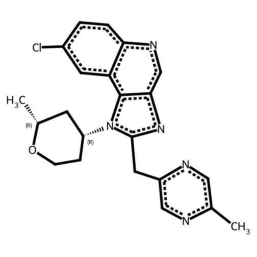 Cc1cnc(Cc2nc3cnc4ccc(Cl)cc4c3n2[C@@H]2CCO[C@H](C)C2)cn1